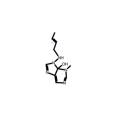 C/C=C/CNN1C=NC2=CN=CN(C)C21O